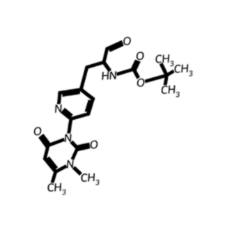 Cc1cc(=O)n(-c2ccc(CC(C=O)NC(=O)OC(C)(C)C)cn2)c(=O)n1C